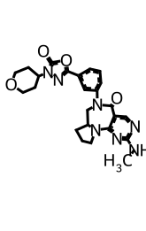 CNc1ncc2c(n1)N1CCCC1CN(c1cccc(-c3nn(C4CCOCC4)c(=O)o3)c1)C2=O